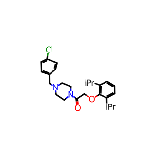 CC(C)c1cccc(C(C)C)c1OCC(=O)N1CCN(Cc2ccc(Cl)cc2)CC1